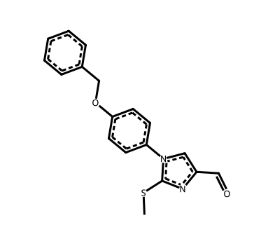 CSc1nc(C=O)cn1-c1ccc(OCc2ccccc2)cc1